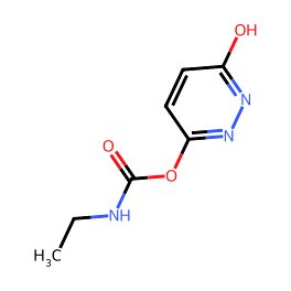 CCNC(=O)Oc1ccc(O)nn1